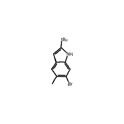 Cc1cc2cc(C(C)(C)C)[nH]c2cc1Br